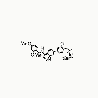 COc1ccc(CNc2cnnc3cc(-c4ccc(CC(C)O[Si](C)(C)C(C)(C)C)c(Cl)c4)ccc23)c(OC)c1